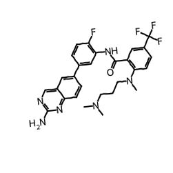 CN(C)CCCN(C)c1ccc(C(F)(F)F)cc1C(=O)Nc1cc(-c2ccc3nc(N)ncc3c2)ccc1F